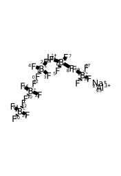 F[B-](F)(F)F.F[B-](F)(F)F.F[B-](F)(F)F.F[B-](F)(F)F.F[B-](F)(F)F.[Al+3].[Li+].[Na+]